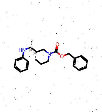 C[C@@H](Nc1ccccc1)[C@H]1CCCN(C(=O)OCc2ccccc2)C1